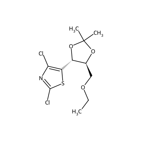 CCOC[C@@H]1OC(C)(C)O[C@H]1c1sc(Cl)nc1Cl